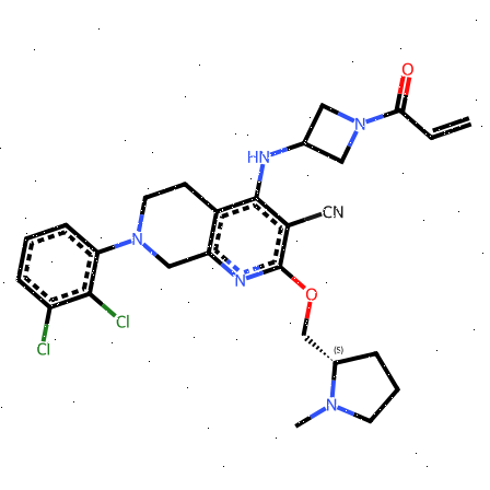 C=CC(=O)N1CC(Nc2c(C#N)c(OC[C@@H]3CCCN3C)nc3c2CCN(c2cccc(Cl)c2Cl)C3)C1